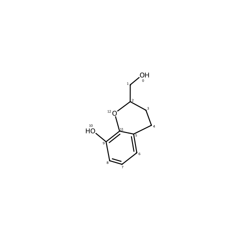 OCC1CCc2cccc(O)c2O1